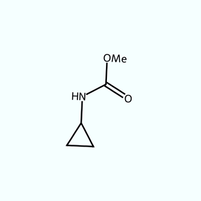 [CH2]OC(=O)NC1CC1